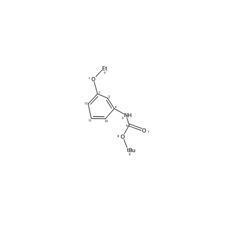 CCOc1[c]c(NC(=O)OC(C)(C)C)ccc1